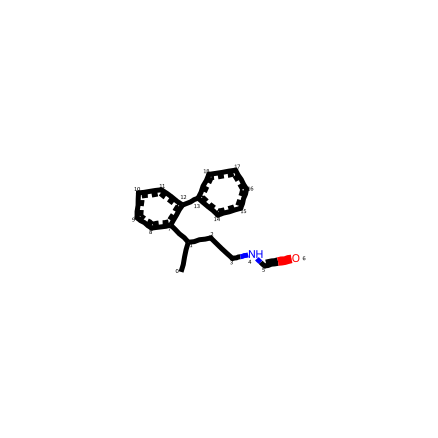 CC(CCNC=O)c1ccccc1-c1ccccc1